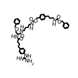 N=C(N)Nc1ccc(CCCC(=O)NC(COCc2ccccc2)C(=O)NCCCCNC(=O)OCc2ccc(CCCNC(=O)OCc3ccccc3)cc2)cc1